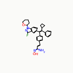 NC(/C=C/c1ccc(/C(=C(\c2ccccc2)C2CCC2)c2ccc3c(c2)c(F)nn3C2CCCCO2)cc1)=N\O